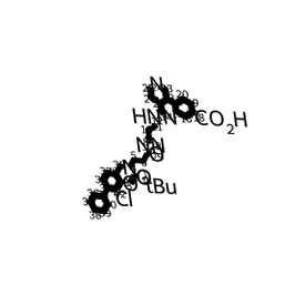 CC(C)(C)OC(=O)N(CCc1nc(CCNc2nc3cc(C(=O)O)ccc3c3cnccc23)no1)Cc1ccc(-c2ccccc2)c(Cl)c1